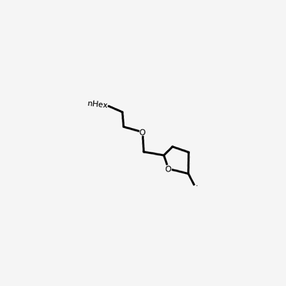 [CH2]C1CCC(COCCCCCCCC)O1